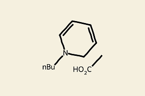 CC(=O)O.CCCCN1C=CC=CC1